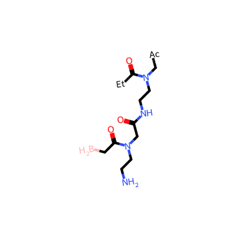 BCC(=O)N(CCN)CC(=O)NCCN(CC(C)=O)C(=O)CC